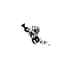 CS(=O)(=O)CC(=O)Nc1c2c(nn1-c1ccc(C3CC3)cn1)C[C@]1(CCOc3cc(OCC(F)(F)F)ccc31)NC2=O